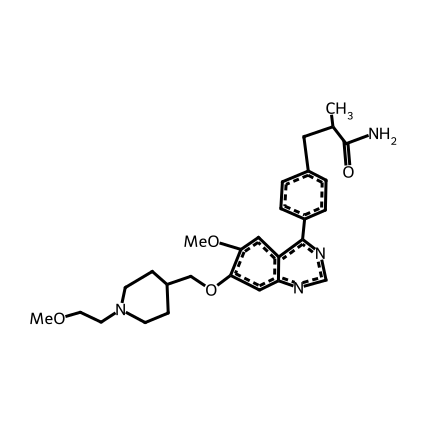 COCCN1CCC(COc2cc3ncnc(-c4ccc(CC(C)C(N)=O)cc4)c3cc2OC)CC1